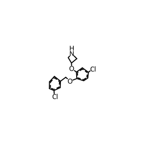 Clc1cccc(COc2ccc(Cl)cc2OC2CNC2)c1